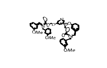 COc1cccc(CN(Cc2cccc(OC)c2)C(=O)OCOc2cncc(OCOC(=O)N(Cc3cccc(OC)c3)Cc3cccc(OC)c3)c2)c1